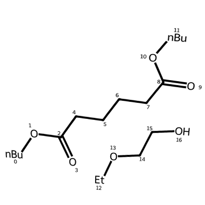 CCCCOC(=O)CCCCC(=O)OCCCC.CCOCCO